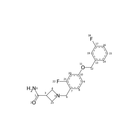 NC(=O)C1CN(Cc2ccc(OCc3cccc(F)c3)cc2F)C1